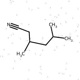 CC(C)CC(C)CC#N